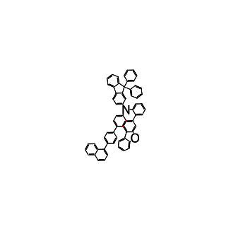 c1ccc(C2(c3ccccc3)c3ccccc3-c3ccc(N(c4ccc(-c5ccc(-c6cccc7ccccc67)cc5)cc4)c4ccccc4-c4ccc5c(c4)oc4ccccc45)cc32)cc1